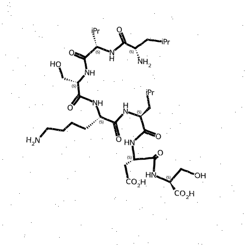 CC(C)C[C@H](NC(=O)[C@H](CCCCN)NC(=O)[C@H](CO)NC(=O)[C@@H](NC(=O)[C@@H](N)CC(C)C)C(C)C)C(=O)N[C@@H](CC(=O)O)C(=O)N[C@@H](CO)C(=O)O